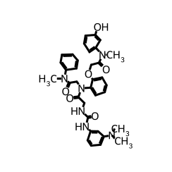 CN(C)c1cccc(NC(=O)NCC(=O)N(CC(=O)N(C)c2ccccc2)c2ccccc2OCC(=O)N(C)c2cccc(O)c2)c1